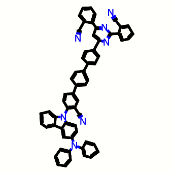 N#Cc1ccccc1-c1cc(-c2ccc(-c3ccc(-c4ccc(-n5c6ccccc6c6cc(N(c7ccccc7)c7ccccc7)ccc65)c(C#N)c4)cc3)cc2)nc(-c2ccccc2C#N)n1